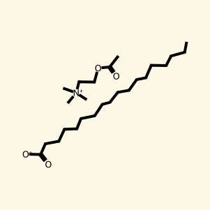 CC(=O)OCC[N+](C)(C)C.CCCCCCCCCCCCCCCCCC(=O)[O-]